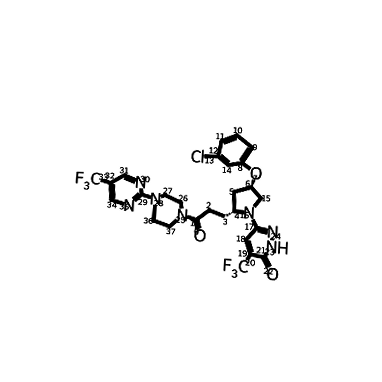 O=C(CC[C@@H]1C[C@@H](Oc2cccc(Cl)c2)CN1c1cc(C(F)(F)F)c(=O)[nH]n1)N1CCN(c2ncc(C(F)(F)F)cn2)CC1